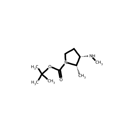 CN[C@H]1CCN(C(=O)OC(C)(C)C)[C@H]1C